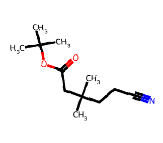 CC(C)(CCC#N)CC(=O)OC(C)(C)C